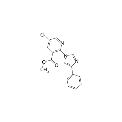 COC(=O)c1cc(Cl)cnc1-n1cnc(-c2ccccc2)c1